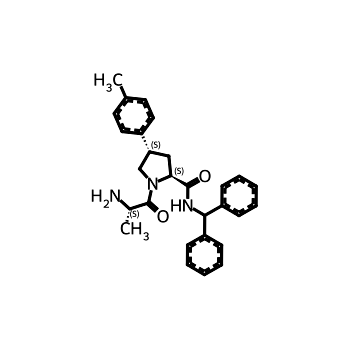 Cc1ccc([C@@H]2C[C@@H](C(=O)NC(c3ccccc3)c3ccccc3)N(C(=O)[C@H](C)N)C2)cc1